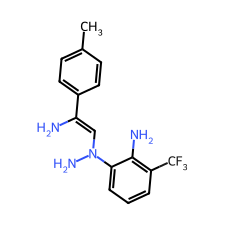 Cc1ccc(/C(N)=C/N(N)c2cccc(C(F)(F)F)c2N)cc1